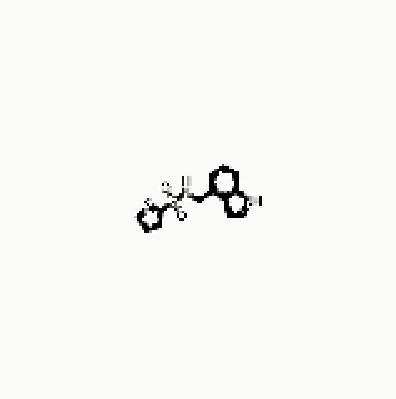 O=S(=O)(NCc1cccc2[nH]ccc12)c1cccs1